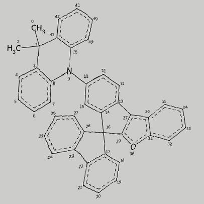 CC1(C)c2ccccc2N(c2ccc3c(c2)C2(c4ccccc4-c4ccccc42)c2oc4ccccc4c2-3)c2ccccc21